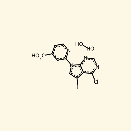 O=C(O)c1ccnc(-n2cc(I)c3c(Cl)ncnc32)c1.O=NO